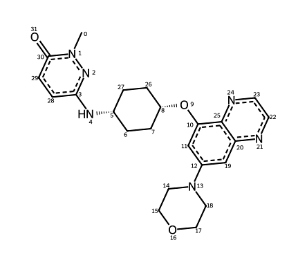 Cn1nc(N[C@H]2CC[C@@H](Oc3cc(N4CCOCC4)cc4nccnc34)CC2)ccc1=O